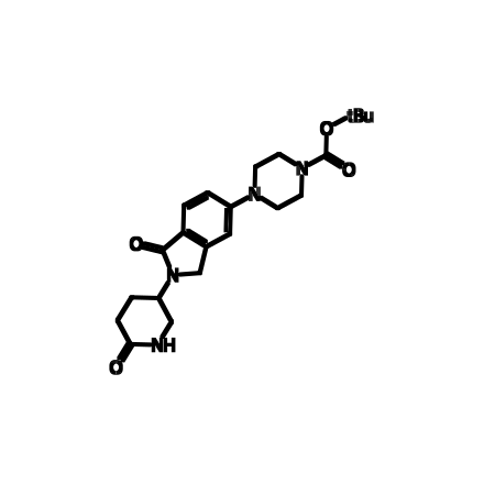 CC(C)(C)OC(=O)N1CCN(c2ccc3c(c2)CN(C2CCC(=O)NC2)C3=O)CC1